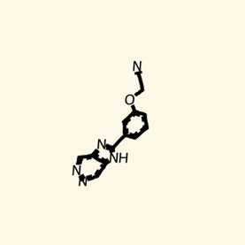 N#CCOc1cccc(-c2nc3cnncc3[nH]2)c1